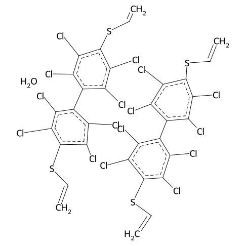 C=CSc1c(Cl)c(Cl)c(-c2c(Cl)c(Cl)c(SC=C)c(Cl)c2Cl)c(Cl)c1Cl.C=CSc1c(Cl)c(Cl)c(-c2c(Cl)c(Cl)c(SC=C)c(Cl)c2Cl)c(Cl)c1Cl.O